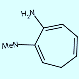 CNC1=CCC=CC=C1N